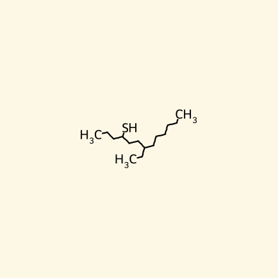 CCCCCCC(CC)CCC(S)CCC